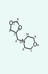 [CH]1OCC(CN2CCOCC2)O1